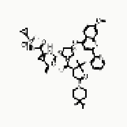 C=CC1C[C@]1(NC(=O)[C@@H]1C[C@@H](Oc2cc(-c3ccccn3)nc3cc(OC)ccc23)CN1C(=O)C(CC(=O)N1CCC(F)(F)CC1)C(C)(C)C)C(=O)NS(=O)(=O)C1CC1